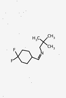 CC(C)(C)C/N=C\C1CCC(F)(F)CC1